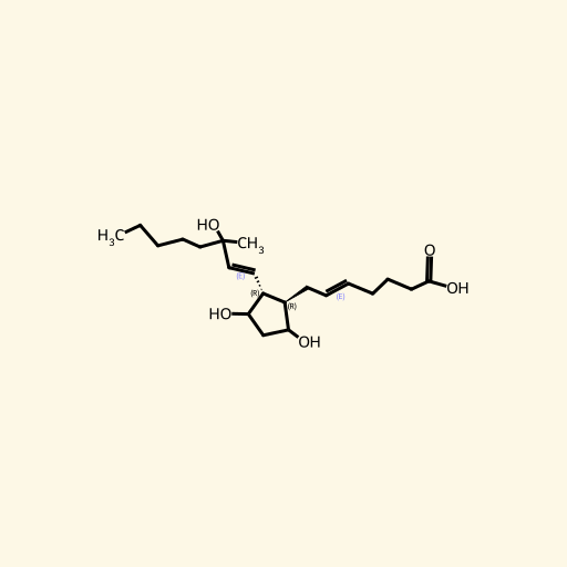 CCCCCC(C)(O)/C=C/[C@H]1C(O)CC(O)[C@@H]1C/C=C/CCCC(=O)O